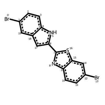 Brc1ccc2[nH]c(-c3nc4ccc(Br)cc4s3)cc2c1